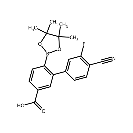 CC1(C)OB(c2ccc(C(=O)O)cc2-c2ccc(C#N)c(F)c2)OC1(C)C